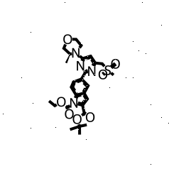 CCOC(=O)n1c(C(=O)OC(C)(C)C)cc2cc(-c3nc(CS(C)(=O)=O)cc(N4CCOC[C@@H]4C)n3)ccc21